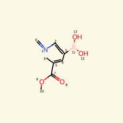 C=N/C=C(\C=C(/C)C(=O)OC)B(O)O